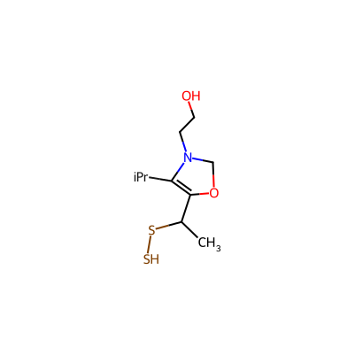 CC(C)C1=C(C(C)SS)OCN1CCO